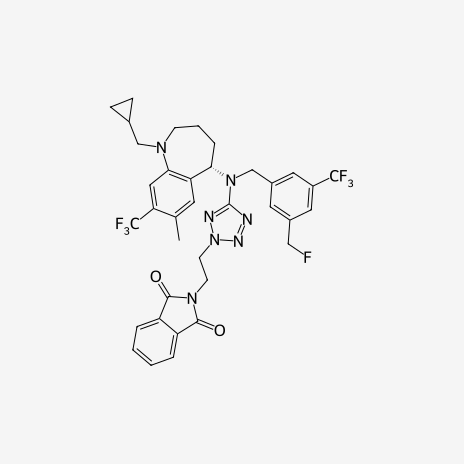 Cc1cc2c(cc1C(F)(F)F)N(CC1CC1)CCC[C@@H]2N(Cc1cc(CF)cc(C(F)(F)F)c1)c1nnn(CCN2C(=O)c3ccccc3C2=O)n1